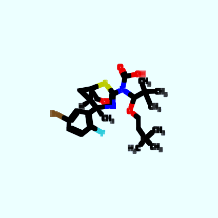 CC(C)(C)C(OCC[Si](C)(C)C)N(C(=O)O)C1=N[C@](C)(c2cc(Br)ccc2F)[C@@H]2C[C@]2(CO)S1